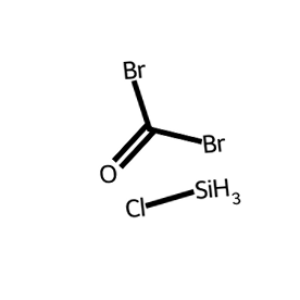 O=C(Br)Br.[SiH3]Cl